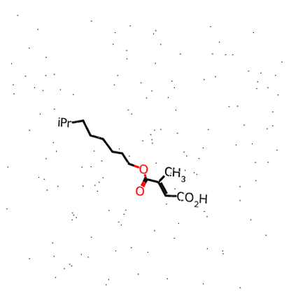 C/C(=C\C(=O)O)C(=O)OCCCCCCC(C)C